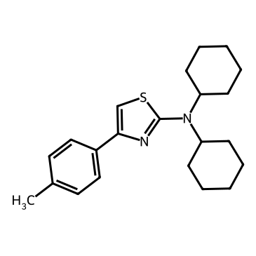 Cc1ccc(-c2csc(N(C3CCCCC3)C3CCCCC3)n2)cc1